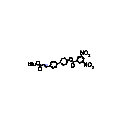 CC(C)(C)OC(=O)/C=C/c1ccc(C2CCC(OC(=O)c3cc([N+](=O)[O-])cc([N+](=O)[O-])c3)CC2)cc1